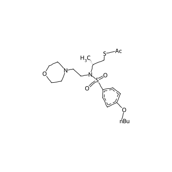 CCCCOc1ccc(S(=O)(=O)N(CCN2CCOCC2)[C@H](C)CSC(C)=O)cc1